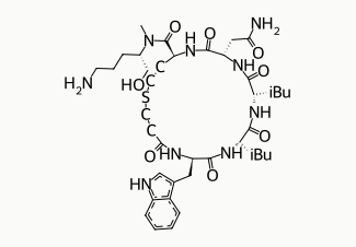 CC[C@@H](C)[C@@H]1NC(=O)[C@H]([C@@H](C)CC)NC(=O)[C@@H](Cc2c[nH]c3ccccc23)NC(=O)CCSCC[C@@H](C(=O)N(C)[C@H](CO)CCCN)NC(=O)[C@H](CC(N)=O)NC1=O